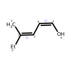 CC/C(C)=C/C=C\O